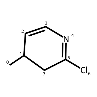 CC1C=CN=C(Cl)C1